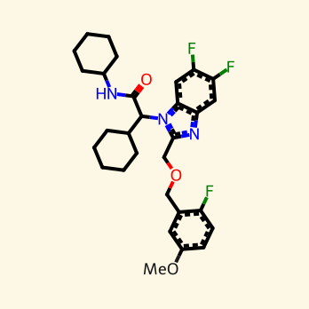 COc1ccc(F)c(COCc2nc3cc(F)c(F)cc3n2C(C(=O)NC2CCCCC2)C2CCCCC2)c1